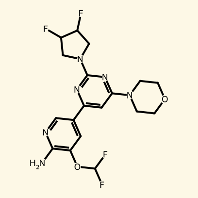 Nc1ncc(-c2cc(N3CCOCC3)nc(N3CC(F)C(F)C3)n2)cc1OC(F)F